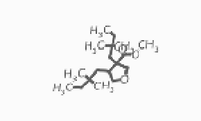 CCC(C)(C)CC1COCC1(CC(C)(C)CC)C(=O)OC